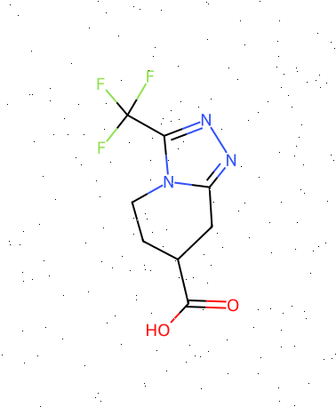 O=C(O)C1CCn2c(nnc2C(F)(F)F)C1